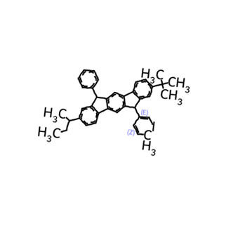 C/C=C\C(=C/I)C1c2cc(C(C)(C)C)ccc2-c2cc3c(cc21)-c1ccc(C(C)CC)cc1C3c1ccccc1